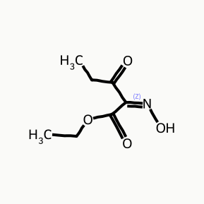 CCOC(=O)/C(=N\O)C(=O)CC